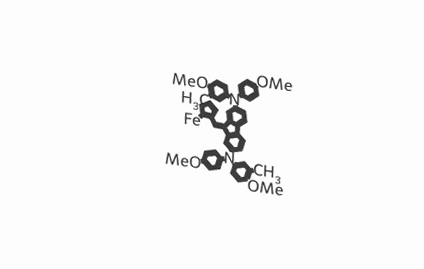 COc1ccc(N(c2ccc(OC)c(C)c2)c2ccc3c(c2)C(=CC2=[C]([Fe])CC=C2)c2cc(N(c4ccc(OC)cc4)c4ccc(OC)c(C)c4)ccc2-3)cc1